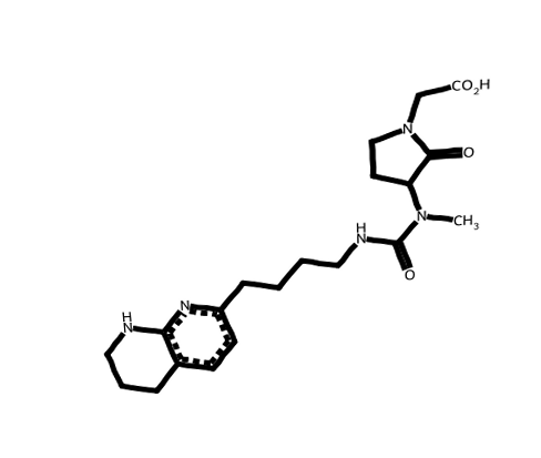 CN(C(=O)NCCCCc1ccc2c(n1)NCCC2)C1CCN(CC(=O)O)C1=O